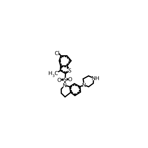 Cc1c(S(=O)(=O)N2CCCc3ccc(N4CCNCC4)cc32)sc2ccc(Cl)cc12